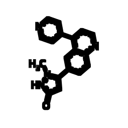 Cn1[nH]c(=O)cc1-c1ccc2nccc(-c3ccncc3)c2c1